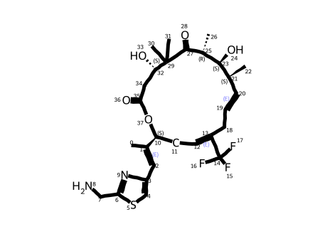 C/C(=C\c1csc(CN)n1)[C@@H]1C/C=C(/C(F)(F)F)C/C=C/[C@H](C)[C@H](O)[C@@H](C)C(=O)C(C)(C)[C@@H](O)CC(=O)O1